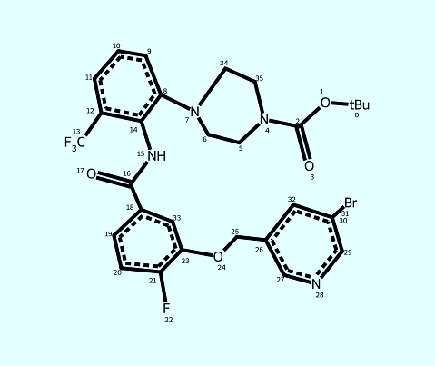 CC(C)(C)OC(=O)N1CCN(c2cccc(C(F)(F)F)c2NC(=O)c2ccc(F)c(OCc3cncc(Br)c3)c2)CC1